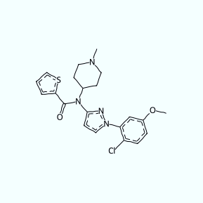 COc1ccc(Cl)c(-n2ccc(N(C(=O)c3cccs3)C3CCN(C)CC3)n2)c1